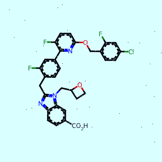 O=C(O)c1ccc2nc(Cc3ccc(-c4nc(OCc5ccc(Cl)cc5F)ccc4F)cc3F)n(CC3CCO3)c2c1